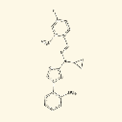 COc1ccccc1-c1csc(N(N=Cc2ccc(F)cc2C(=O)O)C2CC2)n1